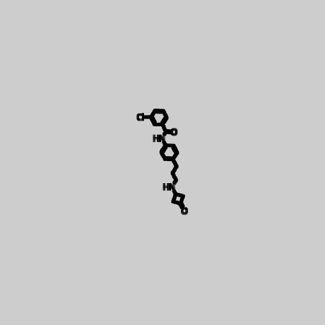 O=C1CC(NCCCc2ccc(NC(=O)c3cccc(Cl)c3)cc2)C1